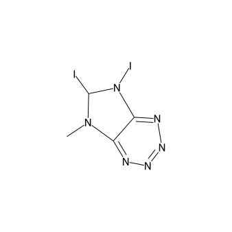 CN1c2nnnnc2N(I)C1I